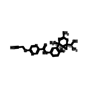 C#CCOc1cnc(C(=O)Nc2ccc(F)c([C@]3(C)N=C(N)S[C@@]4([C@H](O)C(F)(F)F)C[C@H]43)c2)cn1